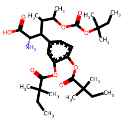 CCC(C)(C)OC(=O)OC(C)C(C)C(c1ccc(OC(=O)C(C)(C)CC)c(OC(=O)C(C)(C)CC)c1)[C@H](N)C(=O)O